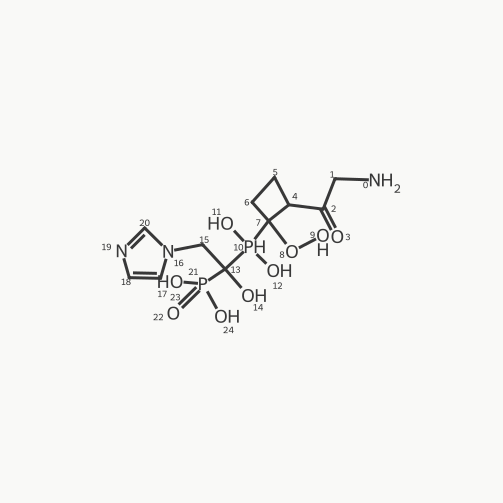 NCC(=O)C1CCC1(OO)[PH](O)(O)C(O)(Cn1ccnc1)P(=O)(O)O